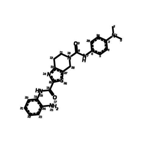 CN(C)c1ccc(NC(=O)N2CCc3nc(C(=O)Nc4ccccc4N)sc3C2)cc1